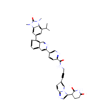 CC(C)c1cc(-c2cccc3cc(-c4ccc(C(=O)NCC#Cc5ccc6ncc(C7CCC(=O)NC7=O)n6c5)nc4)ncc23)cc2c1n(C)c(=O)n2C